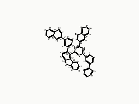 c1ccc(-c2cccc(-c3nc(-c4ccc5ccccc5c4)nc(-c4c(-c5cccc(-c6ccc7ccccc7c6)c5)ccc5sc6ccccc6c45)n3)c2)cc1